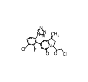 C=C1CC(C(=O)CCl)n2c1cc(-c1c(-n3cnnn3)ccc(Cl)c1F)cc2=O